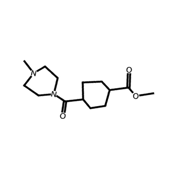 COC(=O)C1CCC(C(=O)N2CCN(C)CC2)CC1